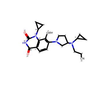 COc1c(N2CCC(N(CCC#N)C3CC3)C2)ccc2c(=O)[nH]c(=O)n(C3CC3)c12